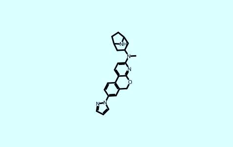 CN(c1ccc2c(n1)OCc1cc(-n3cccn3)ccc1-2)C1CC2CCC(C1)N2